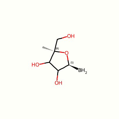 B[C@@H]1O[C@](C)(CO)C(O)C1O